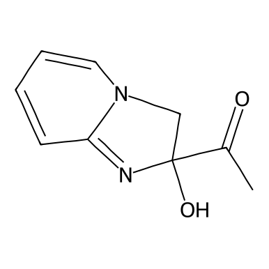 CC(=O)C1(O)CN2C=CC=CC2=N1